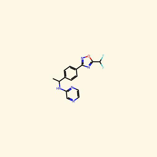 CC(Nc1cnccn1)c1ccc(-c2noc(C(F)F)n2)cc1